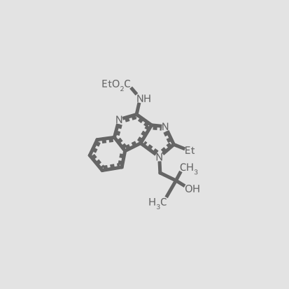 CCOC(=O)Nc1nc2ccccc2c2c1nc(CC)n2CC(C)(C)O